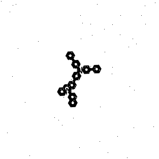 c1ccc(-c2ccc(N(c3ccc(-c4ccccc4)cc3)c3ccc(-c4ccc5c(c4)Cc4ccccc4N5c4ccc5ccccc5c4)cc3)cc2)cc1